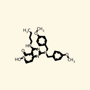 CCCCNc1nc(N(Cc2ccc(OC)cc2)Cc2ccc(OC)cc2)nc2ccn(O)c(=O)c12